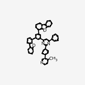 Cc1ccncc1-c1ccc(-c2nc(-c3ccccc3)cc(-c3cc(-c4cccc5c4oc4ccccc45)cc(-c4cccc5c4oc4ccccc45)c3)n2)cc1